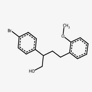 COc1ccccc1CCC(CO)c1ccc(Br)cc1